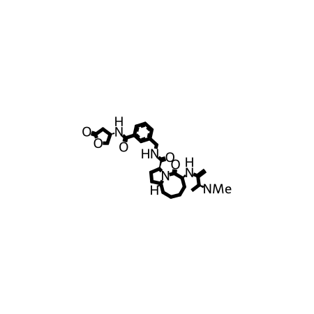 C=C(N[C@H]1CCCC[C@H]2CC[C@@H](C(=O)NCc3cccc(C(=O)N[C@@H]4COC(=O)C4)c3)N2C1=O)[C@H](C)NC